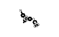 CC(C)CN(c1ccc(C#N)cc1)S(=O)(=O)c1ccc(OC2CCN(S(C)(=O)=O)CC2)cc1